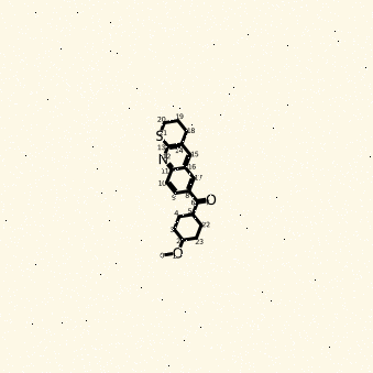 COC1CCC(C(=O)c2ccc3nc4c(cc3c2)CCCS4)CC1